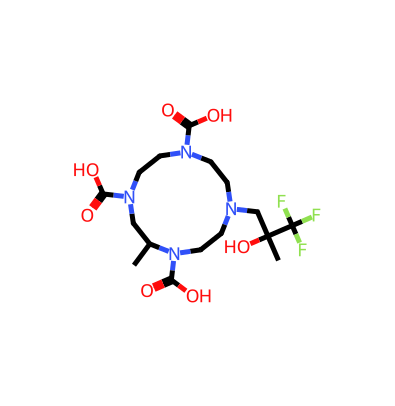 CC1CN(C(=O)O)CCN(C(=O)O)CCN(CC(C)(O)C(F)(F)F)CCN1C(=O)O